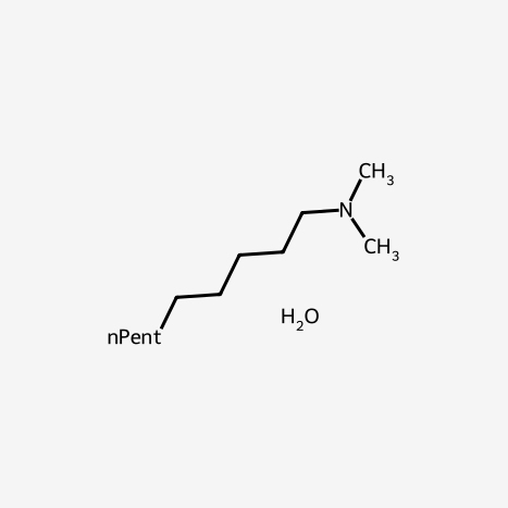 CCCCCCCCCCN(C)C.O